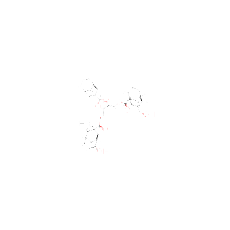 CC1(C(=O)OCC2OC(C3C=C4CCCC(C4)C3)OC2COC(=O)C23CCCC(=CC(CO)C2)C3)C=C2CC(CCC2O)C1